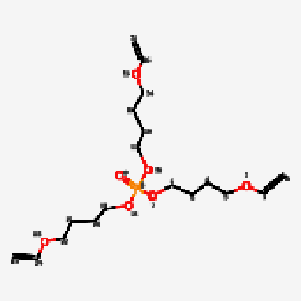 C=COCCCCOP(=O)(OCCCCOC=C)OCCCCOC=C